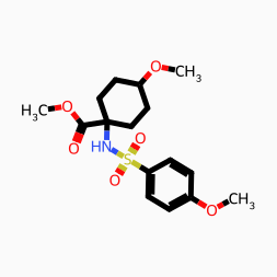 COC(=O)C1(NS(=O)(=O)c2ccc(OC)cc2)CCC(OC)CC1